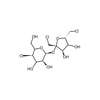 OCC1O[C@@H](O[C@]2(CCl)O[C@H](CCl)C(O)[C@H]2O)[C@@H](O)C(O)[C@H]1Cl